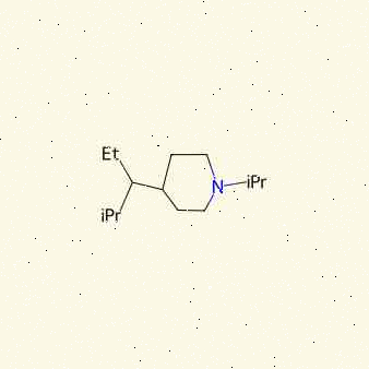 CCC(C(C)C)C1CCN(C(C)C)CC1